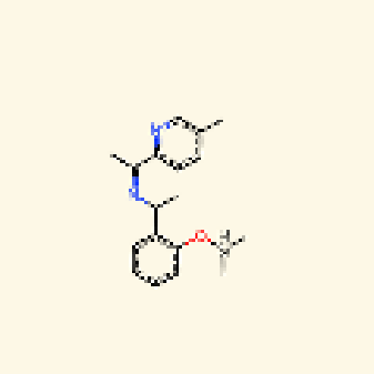 CC(=NC(C)c1ccccc1O[SiH](C)C)c1ccc(C)cn1